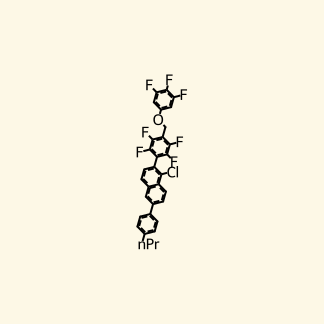 CCCc1ccc(-c2ccc3c(Cl)c(-c4c(F)c(F)c(COc5cc(F)c(F)c(F)c5)c(F)c4F)ccc3c2)cc1